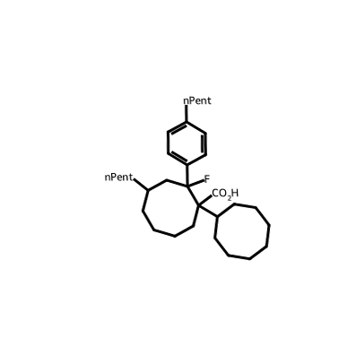 CCCCCc1ccc(C2(F)CC(CCCCC)CCCCC2(C(=O)O)C2CCCCCCC2)cc1